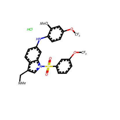 CNCc1cn(S(=O)(=O)c2cccc(OC(F)(F)F)c2)c2cc(Nc3ccc(OC(F)(F)F)cc3OC)ccc12.Cl